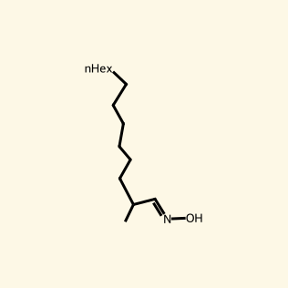 CCCCCCCCCCCCC(C)C=NO